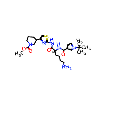 COC(=O)N1CCCC(c2csc(NC(=O)[C@H](CCCCN)NC(=O)c3ccn(C(C)(C)C)c3)n2)C1